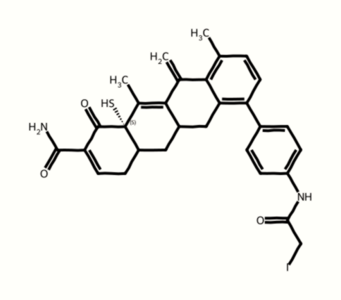 C=C1C2=C(C)[C@]3(S)C(=O)C(C(N)=O)=CCC3CC2Cc2c(-c3ccc(NC(=O)CI)cc3)ccc(C)c21